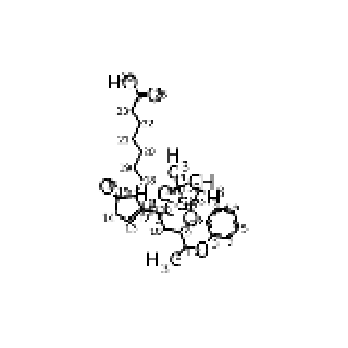 CC(Oc1ccccc1)C(CCC1=CCC(=O)[C@@H]1CCCCCCC(=O)O)O[Si](C)(C)C(C)(C)C